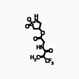 C=C(C(=O)NCC(=O)OC1CNS(=O)(=O)C1)C(F)(F)F